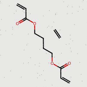 C=C.C=CC(=O)OCCCCOC(=O)C=C